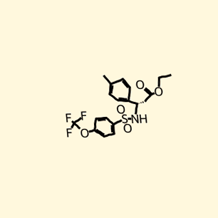 CCOC(=O)C[C@H](NS(=O)(=O)c1ccc(OC(F)(F)F)cc1)c1ccc(C)cc1